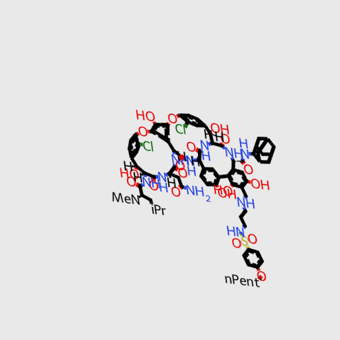 CCCCCOc1ccc(S(=O)(=O)NCCCNCc2c(O)cc3c(c2O)-c2cc(ccc2O)[C@H]2NC(=O)[C@@H]4NC(=O)[C@H](CC(N)=O)NC(=O)[C@H](NC(=O)[C@@H](CC(C)C)NC)[C@H](O)c5ccc(c(Cl)c5)Oc5cc4cc(c5O)Oc4ccc(cc4Cl)[C@@H](O)[C@H](NC2=O)C(=O)N[C@@H]3C(=O)NC2C3CC4CC(C3)CC2C4)cc1